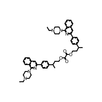 CCN1CCN(c2nc(-c3ccc(C(C)CCOC(=O)C(=O)OCCC(C)c4ccc(-c5cc6ccccc6c(N6CCN(CC)CC6)n5)cc4)cc3)cc3ccccc23)CC1